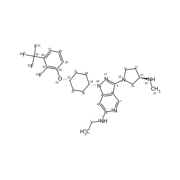 CCNc1cc2c(cn1)c(N1CC[C@@H](NC)C1)nn2[C@H]1CC[C@@H](Oc2cccc(C(F)(F)F)c2F)CC1